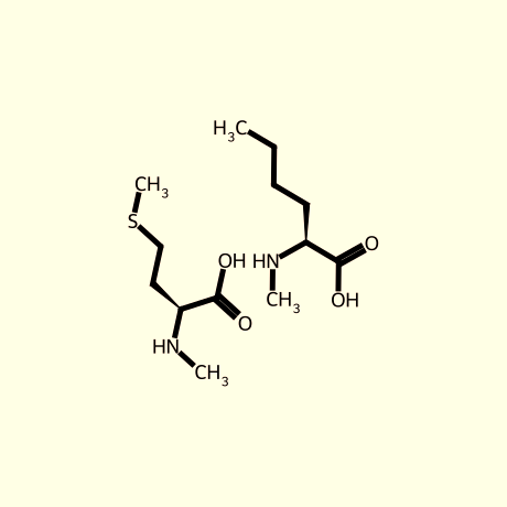 CCCC[C@H](NC)C(=O)O.CN[C@@H](CCSC)C(=O)O